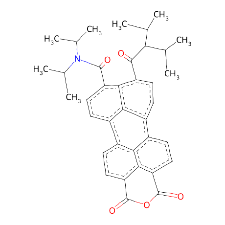 CC(C)C(C(=O)c1ccc2c3ccc4c5c(ccc(c6ccc(C(=O)N(C(C)C)C(C)C)c1c26)c53)C(=O)OC4=O)C(C)C